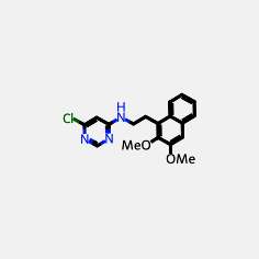 COc1cc2ccccc2c(CCNc2cc(Cl)ncn2)c1OC